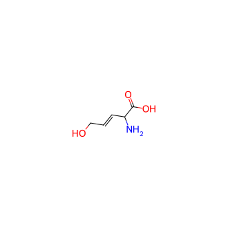 NC(C=CCO)C(=O)O